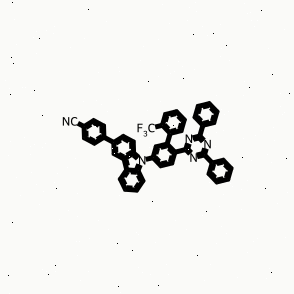 N#Cc1ccc(-c2ccc3c(c2)c2ccccc2n3-c2ccc(-c3nc(-c4ccccc4)nc(-c4ccccc4)n3)c(-c3ccccc3C(F)(F)F)c2)cc1